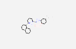 O=[N+]([O-])c1ccc(O)c(/N=C/c2cccc(-c3cccc4ccccc34)n2)c1